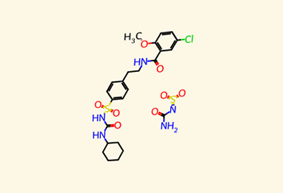 COc1ccc(Cl)cc1C(=O)NCCc1ccc(S(=O)(=O)NC(=O)NC2CCCCC2)cc1.NC(=O)N=S(=O)=O